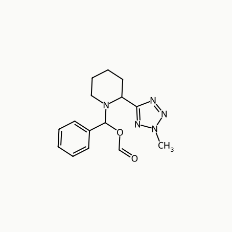 Cn1nnc(C2CCCCN2C(OC=O)c2ccccc2)n1